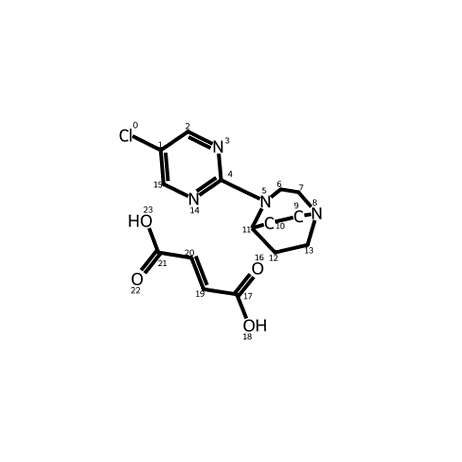 Clc1cnc(N2CCN3CCC2CC3)nc1.O=C(O)/C=C/C(=O)O